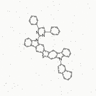 c1ccc(-c2cc(-c3ccccc3)nc(-n3c4ccccc4c4cc5sc6cc7c(cc6c5cc43)c3ccccc3n7-c3ccc4ccccc4c3)n2)cc1